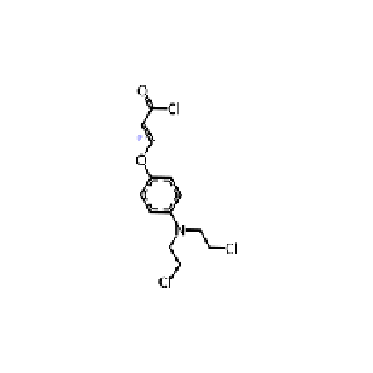 O=C(Cl)/C=C/Oc1ccc(N(CCCl)CCCl)cc1